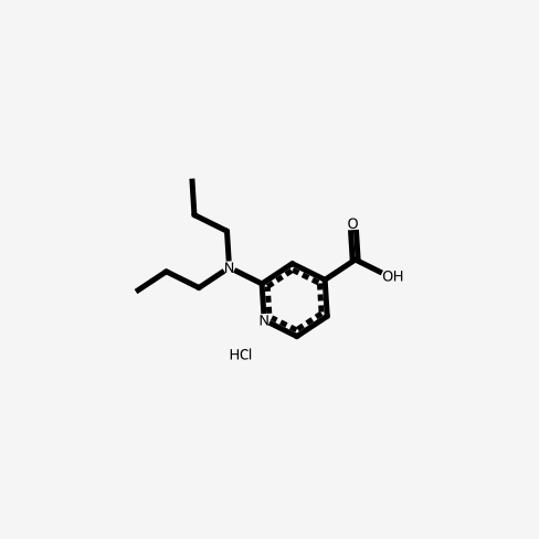 CCCN(CCC)c1cc(C(=O)O)ccn1.Cl